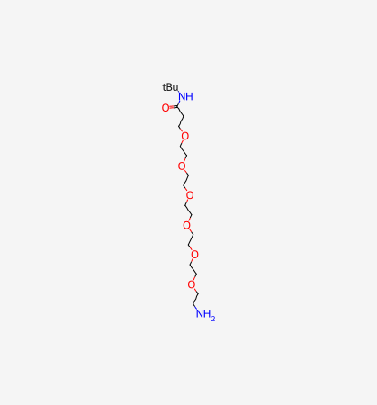 CC(C)(C)NC(=O)CCOCCOCCOCCOCCOCCOCCN